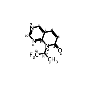 C[C@H](n1c(=O)ccc2cncnc21)C(F)(F)F